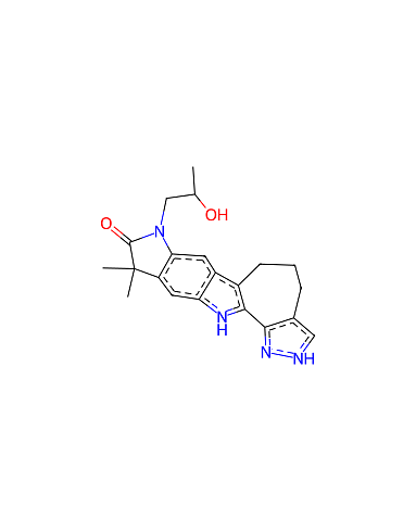 CC(O)CN1C(=O)C(C)(C)c2cc3[nH]c4c(c3cc21)CCCc1c[nH]nc1-4